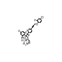 N/N=C\N(N)CC(O)(c1ccc(F)cc1F)C(F)(F)c1ccc(C#CCOc2ccc(Cl)cc2F)cn1